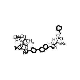 CCCC[C@H](NC(=O)OCc1ccccc1)c1ncc(-c2ccc3cc(-c4ccc(-c5cnc([C@@H]6CC7(CC7)CN6C(=O)[C@@H](NC(=O)CC)[C@@H](C)OC)[nH]5)cc4)ccc3c2)[nH]1